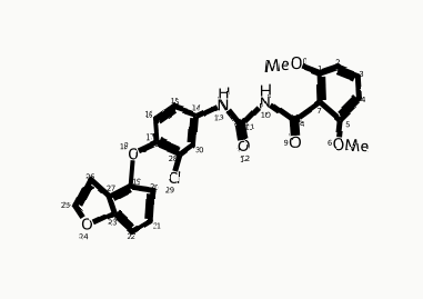 COc1cccc(OC)c1C(=O)NC(=O)Nc1ccc(Oc2cccc3occc23)c(Cl)c1